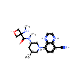 CNC1(C(=O)N(C)[C@@H]2C[C@H](C)CN(c3ccc(C#N)c4nccnc34)C2)COC1